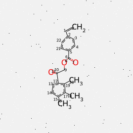 C=Cc1ccc(C(=O)OCC(=O)c2ccc(C)c(C)c2C)cc1